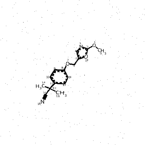 COc1ncc(COc2ccc(C(C)(C)C#N)cc2)o1